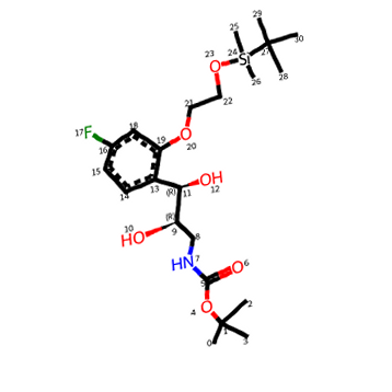 CC(C)(C)OC(=O)NC[C@@H](O)[C@H](O)c1ccc(F)cc1OCCO[Si](C)(C)C(C)(C)C